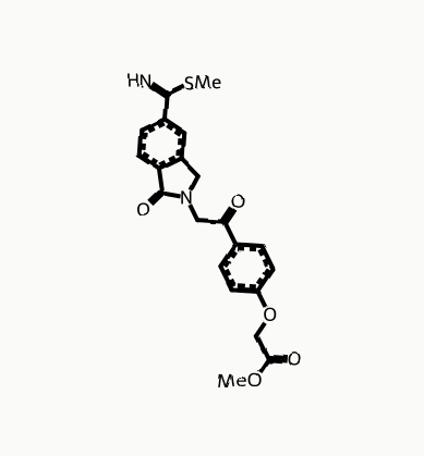 COC(=O)COc1ccc(C(=O)CN2Cc3cc(C(=N)SC)ccc3C2=O)cc1